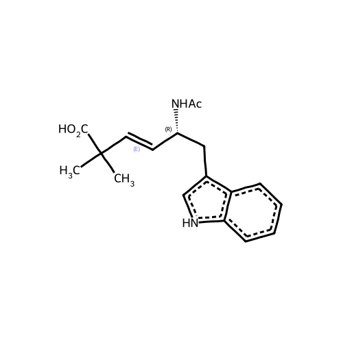 CC(=O)N[C@@H](/C=C/C(C)(C)C(=O)O)Cc1c[nH]c2ccccc12